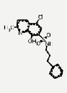 Cc1ccc2c(Cl)cc(S(=O)(=O)NCCCc3ccccc3)c(O)c2n1